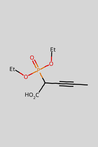 CC#CC(C(=O)O)P(=O)(OCC)OCC